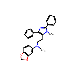 CCCCn1c(-c2ccccc2)nc(-c2ccccc2)c1CCN(C)c1ccc2c(c1)OCO2